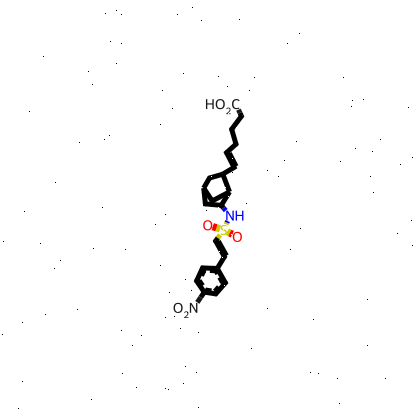 O=C(O)CCC/C=C/C1CC2CC(NS(=O)(=O)/C=C/c3ccc([N+](=O)[O-])cc3)C1C2